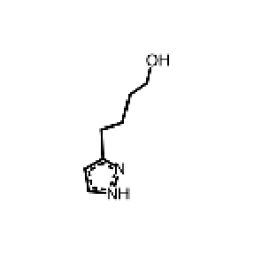 OCCCCc1cc[nH]n1